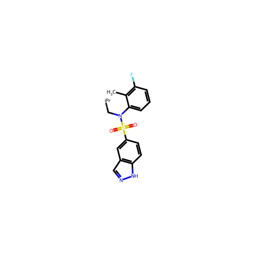 Cc1c(F)cccc1N(CC(C)C)S(=O)(=O)c1ccc2[nH]ncc2c1